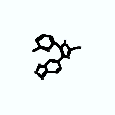 Cc1cccc(-c2[nH]c(C(C)C)nc2-c2ccc3nonc3c2)n1